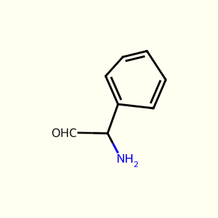 NC(C=O)c1ccccc1